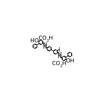 O=C(O)c1cc(N=Nc2ccc(-c3ccc(N=Nc4cc(C(=O)O)c(O)c(-c5ccccc5)c4)c(I)c3)cc2)cc(-c2ccccc2)c1O